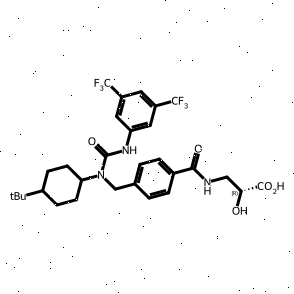 CC(C)(C)C1CCC(N(Cc2ccc(C(=O)NC[C@@H](O)C(=O)O)cc2)C(=O)Nc2cc(C(F)(F)F)cc(C(F)(F)F)c2)CC1